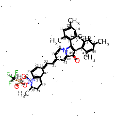 Cc1cc(C)c(C2=C(c3c(C)cc(C)cc3C)N3C=CC(=CC=C4C=CC5=C(CCC(C)[N+]5(C)OS(=O)(=O)C(F)(F)F)C4)C=C3C2=O)c(C)c1